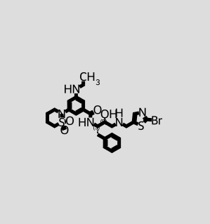 CCNc1cc(C(=O)N[C@@H](Cc2ccccc2)[C@H](O)CNCc2cnc(Br)s2)cc(N2CCCCS2(=O)=O)c1